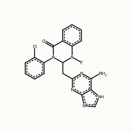 Nc1nc(CC2N(F)c3ccccc3C(=O)N2c2ccccc2Cl)nc2nc[nH]c12